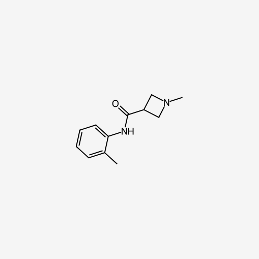 Cc1ccccc1NC(=O)C1CN(C)C1